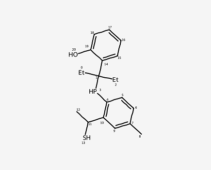 CCC(CC)(Pc1ccc(C)cc1C(C)S)c1ccccc1O